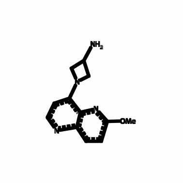 COc1ccc2nccc(N3CC(N)C3)c2n1